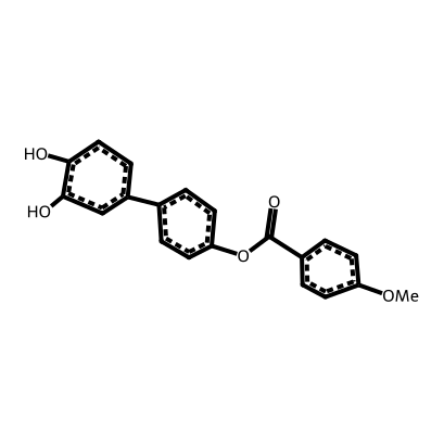 COc1ccc(C(=O)Oc2ccc(-c3ccc(O)c(O)c3)cc2)cc1